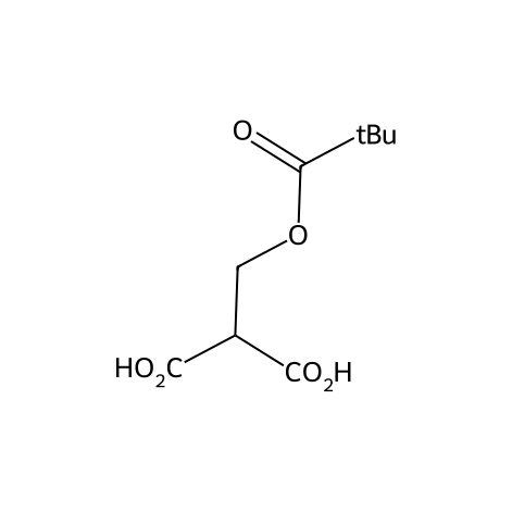 CC(C)(C)C(=O)OCC(C(=O)O)C(=O)O